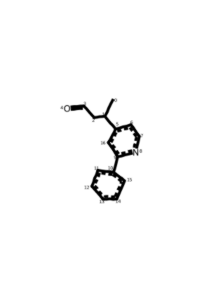 CC(CC=O)c1ccnc(-c2ccccc2)c1